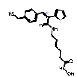 O=C(CCCCCNC(=O)/C(=C\c1ccc(CS)cc1)c1cccs1)NO